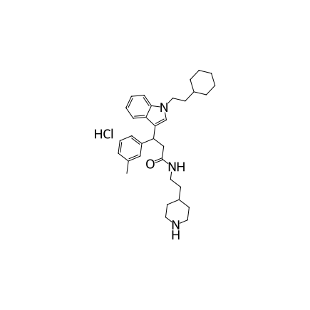 Cc1cccc(C(CC(=O)NCCC2CCNCC2)c2cn(CCC3CCCCC3)c3ccccc23)c1.Cl